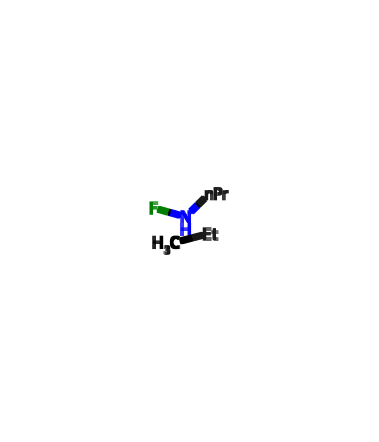 CCC.CCCNF